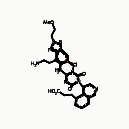 COCCn1cc2c(CCN)c(Nc3nc(=O)n(-c4cncc5cccc(CCC(=O)O)c45)c(=O)n3Cc3cc(F)c(F)cc3F)c(Cl)cc2n1